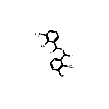 CCC(OC(CC)c1cccc([N+](=O)[O-])c1[N+](=O)[O-])c1cccc([N+](=O)[O-])c1[N+](=O)[O-]